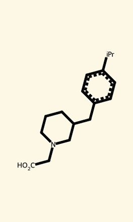 CC(C)c1ccc(CC2CCCN(CC(=O)O)C2)cc1